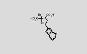 CCC(CC)(C(=O)O)C(CSc1nc2ccccc2s1)C(=O)O